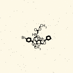 CCOC(=O)CNC(=O)CN(C(=O)c1ccc(Br)cc1)C1C(OC)OC2COC(c3ccccc3)OC2C1O